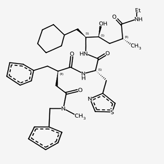 CCNC(=O)[C@H](C)C[C@H](O)[C@H](CC1CCCCC1)NC(=O)[C@H](Cc1cscn1)NC(=O)[C@@H](CC(=O)N(C)Cc1ccccc1)Cc1ccccc1